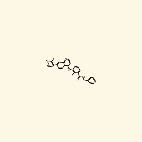 Cc1c(Oc2ccnc3cc(-c4cnn(C)c4C)ccc23)cccc1C(=O)NCc1ccncc1